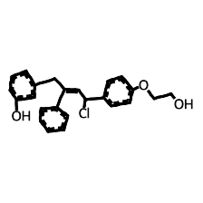 OCCOc1ccc(C(Cl)/C=C(/Cc2cccc(O)c2)c2ccccc2)cc1